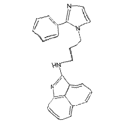 c1ccc(-c2nccn2CCCNC2=Nc3cccc4cccc2c34)cc1